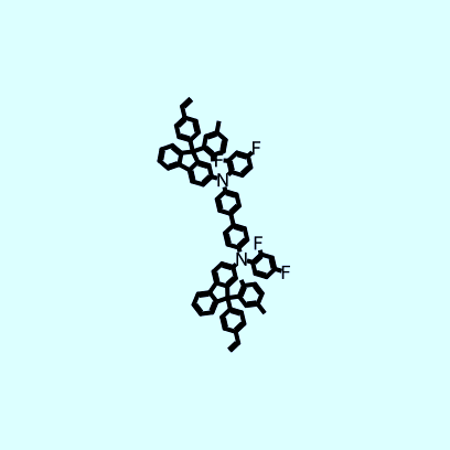 C=Cc1ccc(C2(c3cc(C)ccc3C)c3ccccc3-c3ccc(N(c4ccc(-c5ccc(N(c6ccc7c(c6)C(c6ccc(C=C)cc6)(c6cc(C)ccc6C)c6ccccc6-7)c6ccc(F)cc6F)cc5)cc4)c4ccc(F)cc4F)cc32)cc1